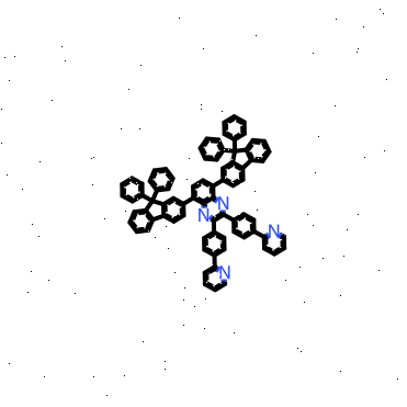 c1ccc(C2(c3ccccc3)c3ccccc3-c3ccc(-c4ccc(-c5ccc6c(c5)C(c5ccccc5)(c5ccccc5)c5ccccc5-6)c5nc(-c6ccc(-c7ccccn7)cc6)c(-c6ccc(-c7ccccn7)cc6)nc45)cc32)cc1